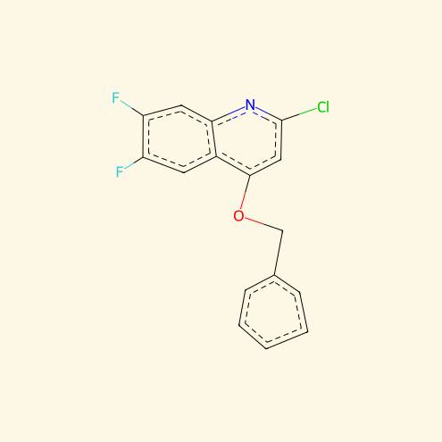 Fc1cc2nc(Cl)cc(OCc3ccccc3)c2cc1F